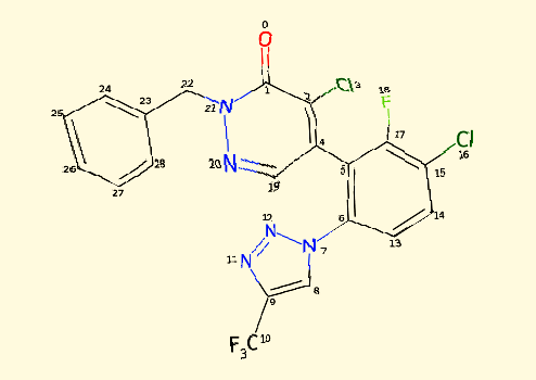 O=c1c(Cl)c(-c2c(-n3cc(C(F)(F)F)nn3)ccc(Cl)c2F)cnn1Cc1ccccc1